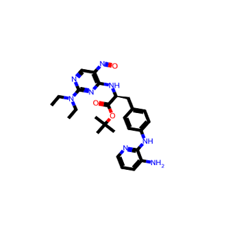 CCN(CC)c1ncc(N=O)c(N[C@@H](Cc2ccc(Nc3ncccc3N)cc2)C(=O)OC(C)(C)C)n1